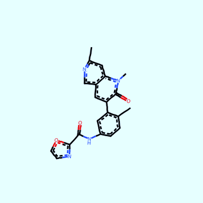 Cc1cc2c(cn1)cc(-c1cc(NC(=O)c3ncco3)ccc1C)c(=O)n2C